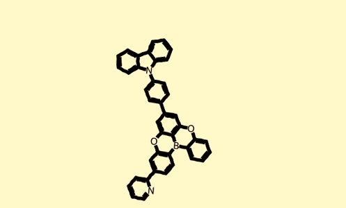 c1ccc(-c2ccc3c(c2)Oc2cc(-c4ccc(-n5c6ccccc6c6ccccc65)cc4)cc4c2B3c2ccccc2O4)nc1